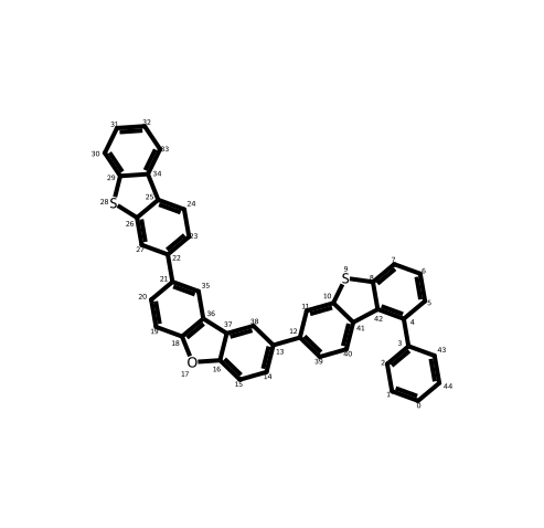 c1ccc(-c2cccc3sc4cc(-c5ccc6oc7ccc(-c8ccc9c(c8)sc8ccccc89)cc7c6c5)ccc4c23)cc1